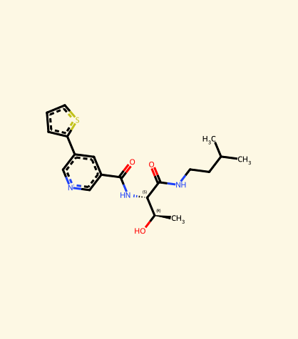 CC(C)CCNC(=O)[C@@H](NC(=O)c1cncc(-c2cccs2)c1)[C@@H](C)O